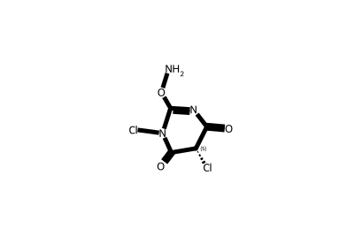 NOC1=NC(=O)[C@H](Cl)C(=O)N1Cl